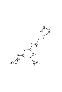 COCOC(COCCc1ccsc1)COCC1CO1